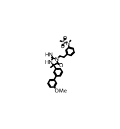 COc1cccc(-c2cccc(C3(C)NC(=N)N(CCc4cccc(N(C)S(C)(=O)=O)c4)C3=O)c2)c1